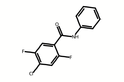 O=C(Nc1c[c]ccc1)c1cc(F)c(Cl)cc1F